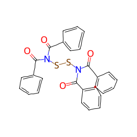 O=C(c1ccccc1)N(SSN(C(=O)c1ccccc1)C(=O)c1ccccc1)C(=O)c1ccccc1